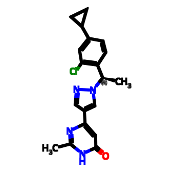 Cc1nc(-c2cnn([C@H](C)c3ccc(C4CC4)cc3Cl)c2)cc(=O)[nH]1